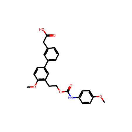 COc1ccc(NC(=O)OCCc2cc(-c3cccc(CC(=O)O)c3)ccc2OC)cc1